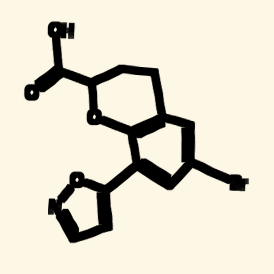 O=C(O)C1CCc2cc(Br)cc(-c3ccno3)c2O1